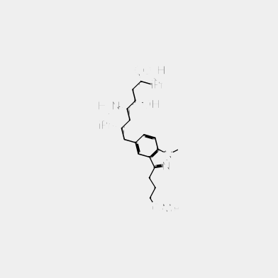 COCCCc1nn(C)c2ccc(C[C@@H](C[C@H](N)[C@@H](O)C[C@H](C(=O)O)C(C)C)C(C)C)cc12